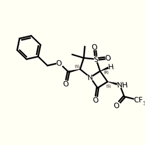 CC1(C)[C@H](C(=O)OCc2ccccc2)N2C(=O)[C@H](NC(=O)C(F)(F)F)[C@H]2S1(=O)=O